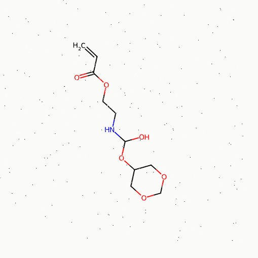 C=CC(=O)OCCNC(O)OC1COCOC1